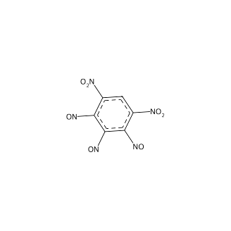 O=Nc1c([N+](=O)[O-])cc([N+](=O)[O-])c(N=O)c1N=O